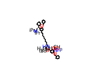 CC(C)N(CC[C@H](c1ccccc1)c1cc(/C=C/CCCCCCCCNC[C@H](O[Si](C)(C)C(C)(C)C)c2ccc(OCc3ccccc3)c(NS(C)(=O)=O)c2)ccc1OCc1ccccc1)C(C)C